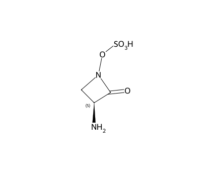 N[C@H]1CN(OS(=O)(=O)O)C1=O